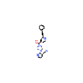 N#Cc1cccnc1N1CCN(C(=O)c2ccnc(C#Cc3ccccc3)c2)CC1